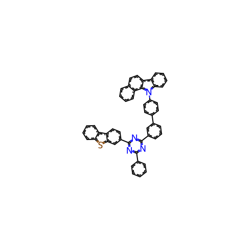 c1ccc(-c2nc(-c3cccc(-c4ccc(-n5c6ccccc6c6ccc7ccccc7c65)cc4)c3)nc(-c3ccc4c(c3)sc3ccccc34)n2)cc1